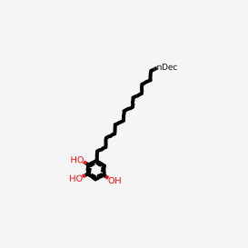 CCCCCCCCCCCCCCCCCCCCCCCc1cc(O)cc(O)c1O